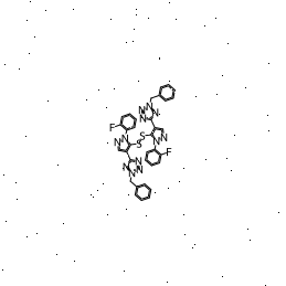 Fc1ccccc1-n1ncc(-c2nnn(Cc3ccccc3)n2)c1SSc1c(-c2nnn(Cc3ccccc3)n2)cnn1-c1ccccc1F